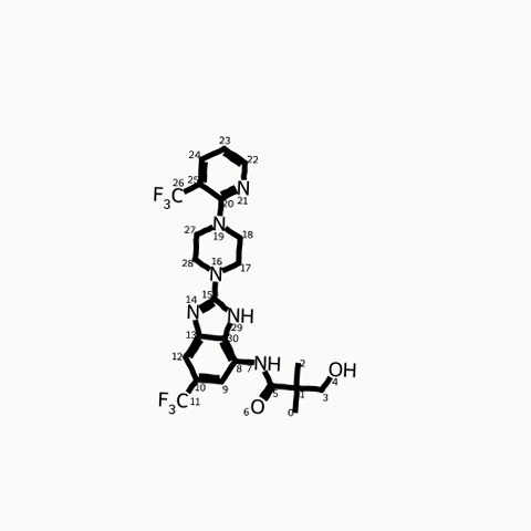 CC(C)(CO)C(=O)Nc1cc(C(F)(F)F)cc2nc(N3CCN(c4ncccc4C(F)(F)F)CC3)[nH]c12